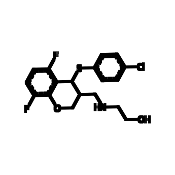 OCCNCC1COc2c(F)ccc(F)c2C1Sc1ccc(Cl)cc1